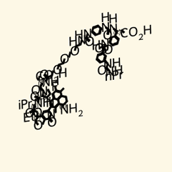 CCCNC(=O)Nc1cccc(S(=O)(=O)Nc2cccc([C@@H](CC(=O)O)NC(=O)Nc3ccc(NC(=O)NCCOCCOCCOCCC(=O)N[C@@H](CC(=O)O)C(=O)N4CCC[C@H]4C(=O)N[C@H](C(=O)O[C@]4(CC)COCc5c4cc4n(c5=O)Cc5c-4nc4cc(F)c(C)c6c4c5[C@@H](N)CC6)C(C)C)cc3)c2)c1